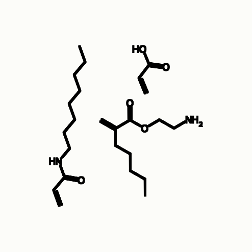 C=C(CCCCC)C(=O)OCCN.C=CC(=O)NCCCCCCCC.C=CC(=O)O